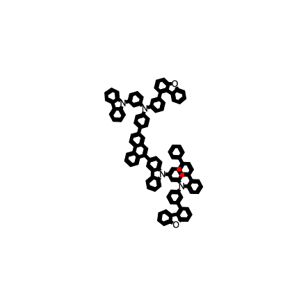 c1ccc(-c2ccc(-c3ccccc3N(c3cccc(-c4cccc5oc6ccccc6c45)c3)c3cccc(-n4c5ccccc5c5cc(-c6cc7cc(-c8ccc(N(c9cccc(-c%10cccc%11oc%12ccccc%12c%10%11)c9)c9cccc(-n%10c%11ccccc%11c%11ccccc%11%10)c9)cc8)ccc7c7ccccc67)ccc54)c3)cc2)cc1